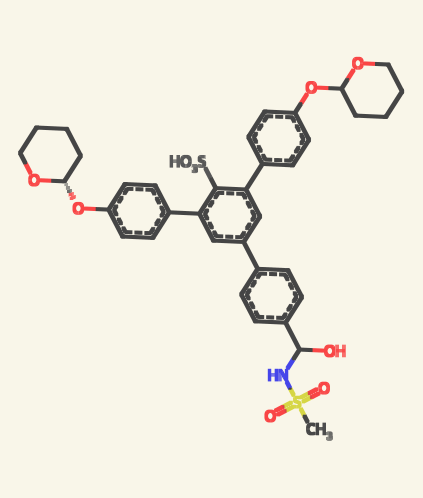 CS(=O)(=O)NC(O)c1ccc(-c2cc(-c3ccc(OC4CCCCO4)cc3)c(S(=O)(=O)O)c(-c3ccc(O[C@H]4CCCCO4)cc3)c2)cc1